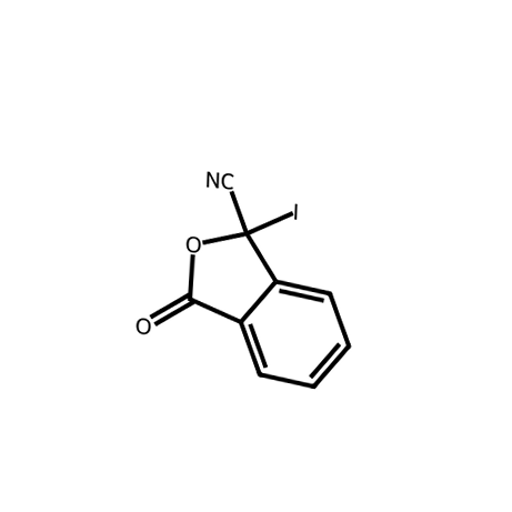 N#CC1(I)OC(=O)c2ccccc21